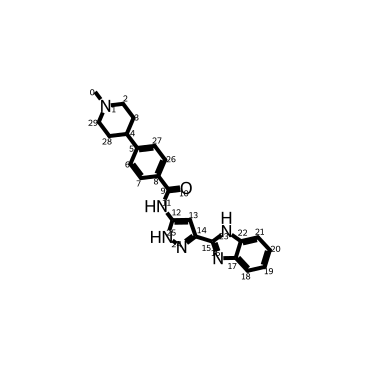 CN1CCC(c2ccc(C(=O)Nc3cc(-c4nc5ccccc5[nH]4)n[nH]3)cc2)CC1